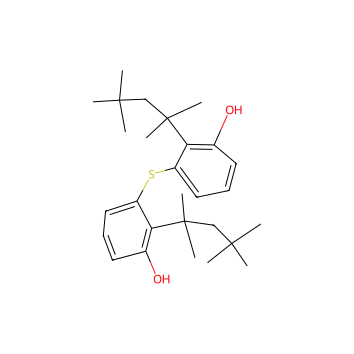 CC(C)(C)CC(C)(C)c1c(O)cccc1Sc1cccc(O)c1C(C)(C)CC(C)(C)C